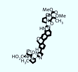 COC(=O)NC(C(=O)N1[C@@H](C)CC[C@H]1c1nc2ccc3cc4c(cc3c2[nH]1)OCc1cc(-c2cnc([C@@H]3CC[C@H](C)N3C(=O)C(NC(=O)O)C(C)C)[nH]2)ccc1-4)C(C)OC